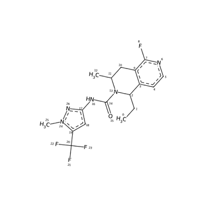 CCC1c2ccnc(F)c2CC(C)N1C(=O)Nc1cc(C(F)(F)F)n(C)n1